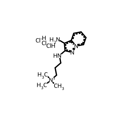 C[N+](C)(C)CCCNc1nn2ccccc2c1N.Cl.Cl.[Cl-]